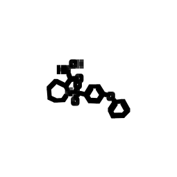 O=C(NO)C1CCCCCN1S(=O)(=O)c1ccc(Oc2ccccc2)cc1